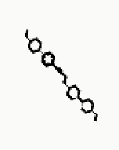 CC[C@H]1CC[C@H](c2ccc(C#CC=C[C@H]3CC[C@H]([C@H]4CC[C@H](CC)CC4)CC3)cc2)CC1